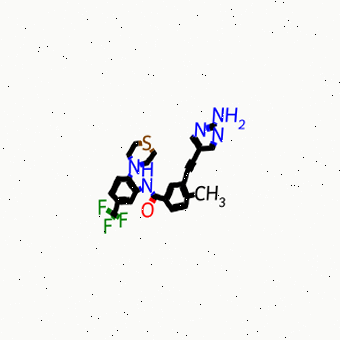 Cc1ccc(C(=O)Nc2cc(C(F)(F)F)ccc2N2CCSCC2)cc1C#Cc1cnc(N)nc1